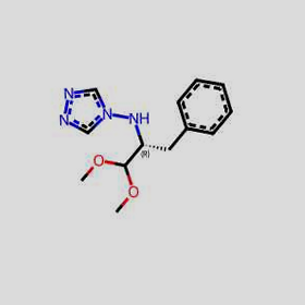 COC(OC)[C@@H](Cc1ccccc1)Nn1cnnc1